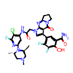 C[C@H]1CN(C)C[C@H](C)N1c1cc(NC(=O)Cn2cc(-c3cc(C(N)=O)c(O)c(F)c3F)c3c(=O)n4c(nc32)CCC4)c(Cl)c(F)n1